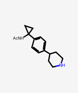 CC(=O)NC1(c2ccc(C3CCNCC3)cc2)CC1